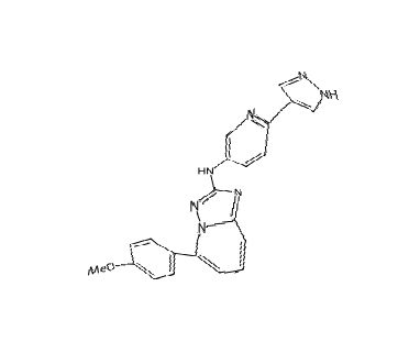 COc1ccc(-c2cccc3nc(Nc4ccc(-c5cn[nH]c5)nc4)nn23)cc1